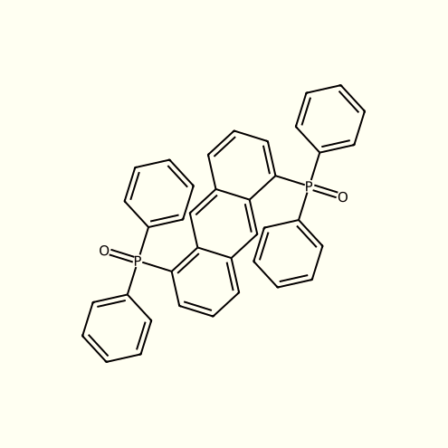 O=P(c1ccccc1)(c1ccccc1)c1cccc2cc3c(P(=O)(c4ccccc4)c4ccccc4)cccc3cc12